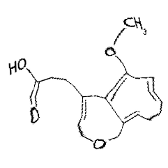 COc1cccc2occ(CC(=O)O)c12